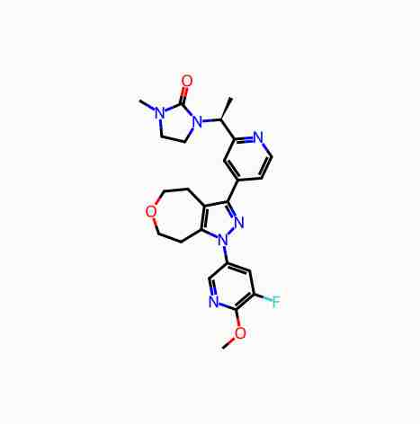 COc1ncc(-n2nc(-c3ccnc([C@H](C)N4CCN(C)C4=O)c3)c3c2CCOCC3)cc1F